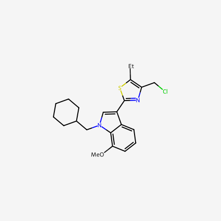 CCc1sc(-c2cn(CC3CCCCC3)c3c(OC)cccc23)nc1CCl